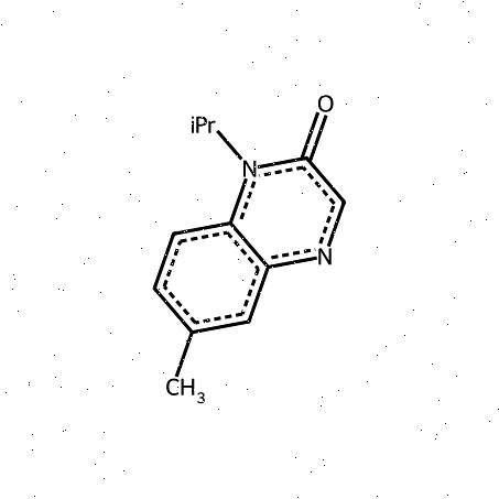 Cc1ccc2c(c1)ncc(=O)n2C(C)C